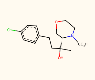 CC(O)(CCc1ccc(Cl)cc1)[C@@H]1COCCN1C(=O)O